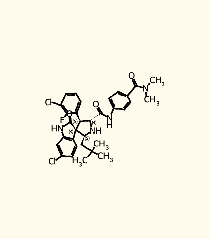 CN(C)C(=O)c1ccc(NC(=O)[C@@H]2N[C@@H](CC(C)(C)C)[C@@]3(C(=O)Nc4cc(Cl)ccc43)[C@H]2c2cccc(Cl)c2F)cc1